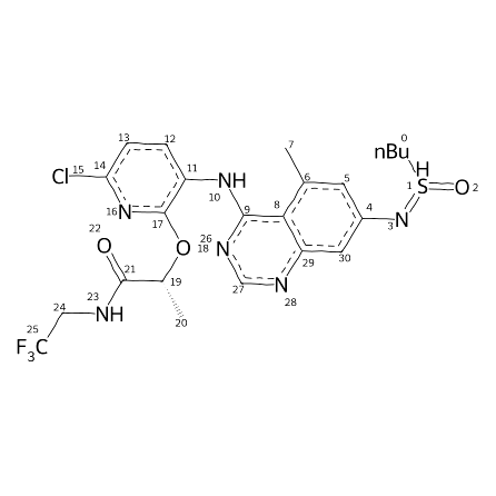 CCCC/[SH](=O)=N\c1cc(C)c2c(Nc3ccc(Cl)nc3O[C@H](C)C(=O)NCC(F)(F)F)ncnc2c1